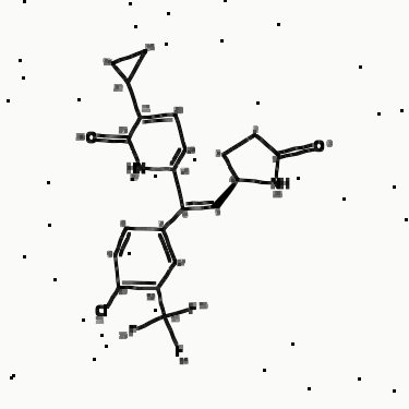 O=C1CC[C@H](C=C(c2ccc(Cl)c(C(F)(F)F)c2)c2ccc(C3CC3)c(=O)[nH]2)N1